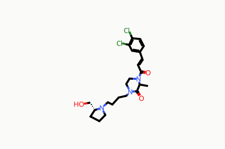 CC1C(=O)N(CCCCN2CCC[C@@H]2CO)CCN1C(=O)/C=C/c1ccc(Cl)c(Cl)c1